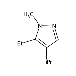 CCc1c(C(C)C)cnn1C